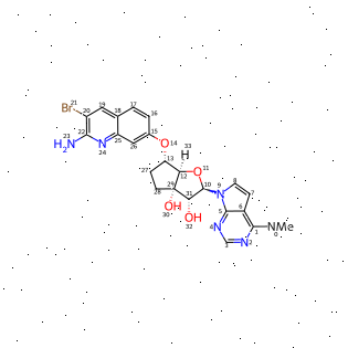 CNc1ncnc2c1ccn2[C@@H]1O[C@@H]2[C@@H](Oc3ccc4cc(Br)c(N)nc4c3)CC[C@]2(O)[C@H]1O